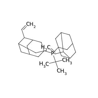 C=CC1C2CC3CC1CC(P(C(C)(C)C)C14CC5CC(C1)C(C=C)C(C5)C4)(C3)C2